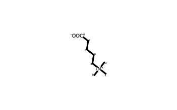 C[N+](C)(C)CCCCC(=O)[O-]